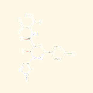 Cn1cc(-n2nc(-c3ccc(Cl)cc3)cc(C(=O)NC(C(O)F)C(F)F)c2=O)cn1